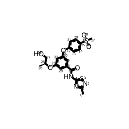 Cc1nsc(NC(=O)c2cc(Oc3ccc(S(C)(=O)=O)cc3)cc(O[C@@H](C)CO)c2)n1